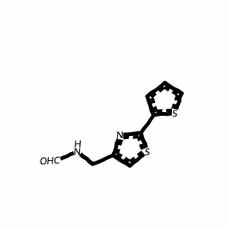 O=CNCc1csc(-c2cccs2)n1